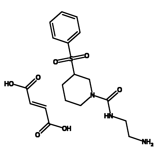 NCCNC(=O)N1CCCC(S(=O)(=O)c2ccccc2)C1.O=C(O)C=CC(=O)O